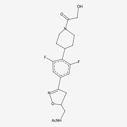 CC(=O)NCC1CC(c2cc(F)c(C3CCN(C(=O)CO)CC3)c(F)c2)=NO1